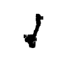 CN[C@@H](C)C(=O)N[C@H](C(=O)N1C[C@@H](NC(=O)COCCOCCOCCOCCOCCOc2ccc(-c3ccc4c(c3)[nH]c3ccncc34)cn2)C[C@H]1C(=O)N[C@@H]1CCCc2ccccc21)C1CCCCC1